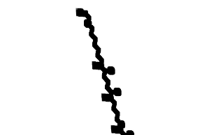 CCC(C)COCCCCCCCNC(=O)CCCC(=O)NCCCCONC(=O)OC(C)(C)C